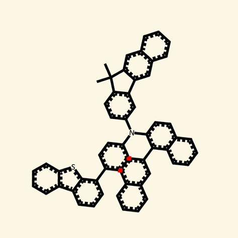 CC1(C)c2ccc(N(c3ccc(-c4cccc5c4sc4ccccc45)cc3)c3ccc4ccccc4c3-c3ccc4ccccc4c3)cc2-c2cc3ccccc3cc21